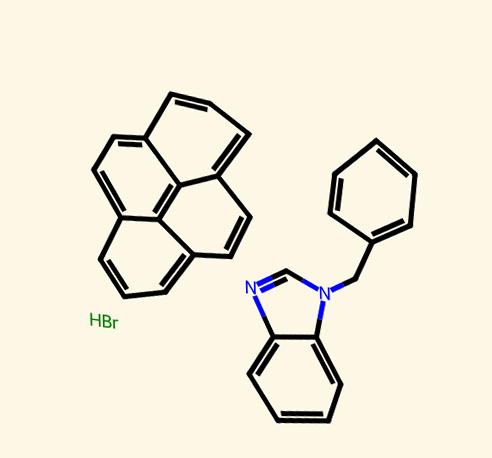 Br.c1cc2ccc3cccc4ccc(c1)c2c34.c1ccc(Cn2cnc3ccccc32)cc1